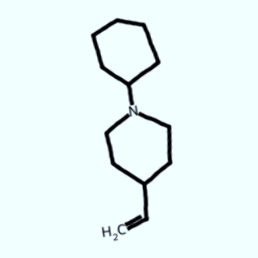 C=CC1CCN(C2CCCCC2)CC1